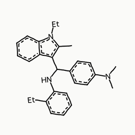 CCc1ccccc1NC(c1ccc(N(C)C)cc1)c1c(C)n(CC)c2ccccc12